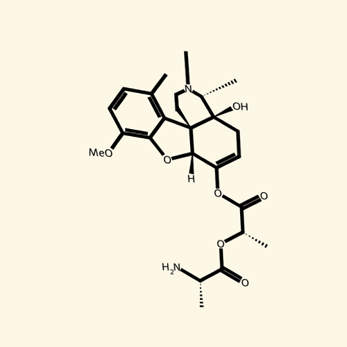 COc1ccc(C)c2c1O[C@H]1C(OC(=O)[C@H](C)OC(=O)[C@H](C)N)=CC[C@@]3(O)[C@@H](C)N(C)CC[C@]213